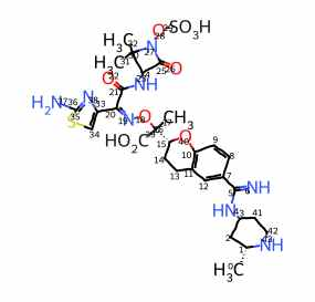 C[C@@H]1C[C@H](NC(=N)c2ccc3c(c2)CC[C@H](C(C)(O/N=C(\C(=O)N[C@@H]2C(=O)N(OS(=O)(=O)O)C2(C)C)c2csc(N)n2)C(=O)O)O3)CCN1